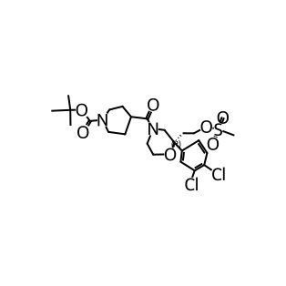 CC(C)(C)OC(=O)N1CCC(C(=O)N2CCO[C@](CCOS(C)(=O)=O)(c3ccc(Cl)c(Cl)c3)C2)CC1